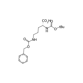 CC(C)(C)OC(=O)N[C@H](CCCNC(=O)OCc1ccccc1)C(=O)O